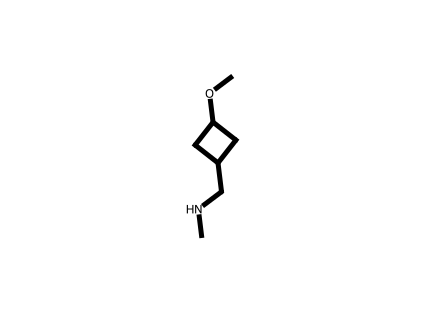 CNCC1CC(OC)C1